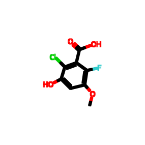 COc1cc(O)c(Cl)c(C(=O)O)c1F